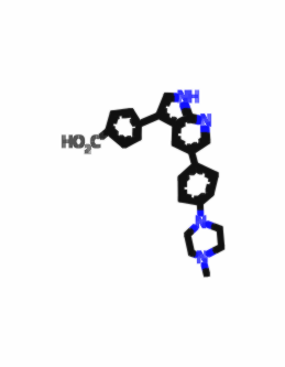 CN1CCN(c2ccc(-c3cnc4[nH]cc(-c5ccc(C(=O)O)cc5)c4c3)cc2)CC1